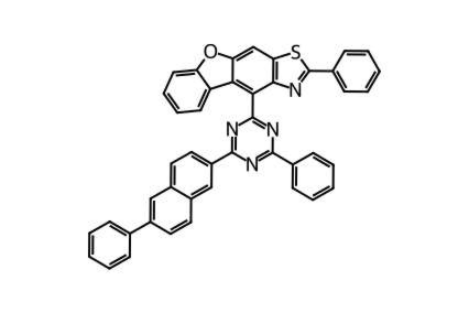 c1ccc(-c2ccc3cc(-c4nc(-c5ccccc5)nc(-c5c6nc(-c7ccccc7)sc6cc6oc7ccccc7c56)n4)ccc3c2)cc1